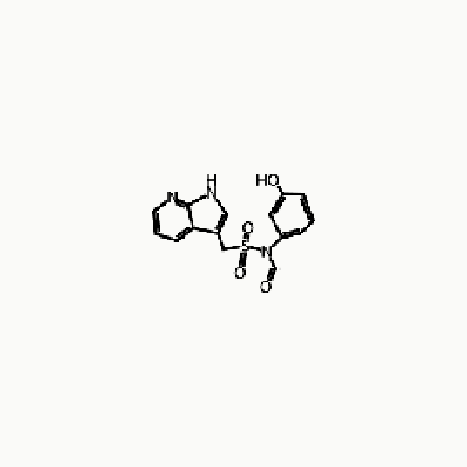 O=[C]N(c1cccc(O)c1)S(=O)(=O)Cc1c[nH]c2ncccc12